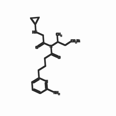 CCOC(=O)CC(C)N(C(=O)CCCc1cccc(N)n1)C(=O)CNC1CC1